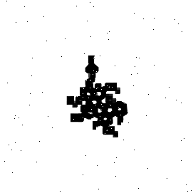 Cc1cc(-c2c(C)cccc2F)cc([C@H](CC(=O)O)NC(=O)[C@H](CC(C)C)n2cc(CCN3CC(F)C3)nc(C)c2=O)c1F